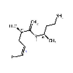 C=C(N[C@H](C)CCN)[C@H](C)C/C=C\C(C)C